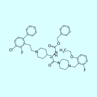 CCOc1cccc(F)c1CN1CCN(C(=O)[C@H](NC(=O)OCc2ccccc2)C2CCN(CCc3c(-c4ccccc4)ccc(Cl)c3F)CC2)CC1